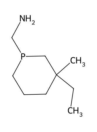 CCC1(C)CCCP(CN)C1